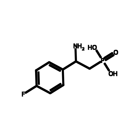 NC(CP(=O)(O)O)c1ccc(F)cc1